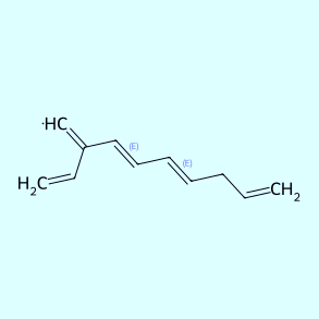 [CH]=C(C=C)/C=C/C=C/CC=C